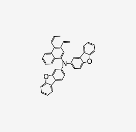 C=Cc1cc(N(c2ccc3c(c2)oc2ccccc23)c2ccc3oc4ccccc4c3c2)c2ccccc2c1/C=C\C